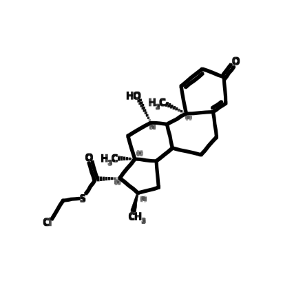 C[C@@H]1CC2C3CCC4=CC(=O)C=C[C@]4(C)C3[C@@H](O)C[C@]2(C)[C@H]1C(=O)SCCl